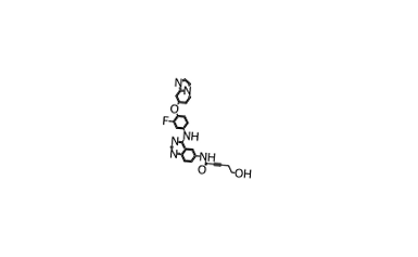 O=C(C#CCCO)Nc1ccc2ncnc(Nc3ccc(Oc4ccn5ccnc5c4)c(F)c3)c2c1